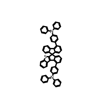 c1ccc(N(c2ccccc2)c2ccc(-c3cccc4c3-c3ccccc3C43c4cccc(-c5ccc(N(c6ccccc6)c6ccccc6)cc5)c4-c4c3sc3ccccc43)cc2)cc1